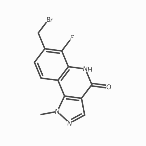 Cn1ncc2c(=O)[nH]c3c(F)c(CBr)ccc3c21